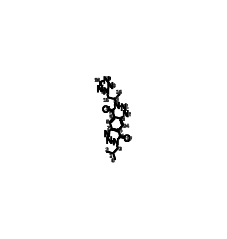 CC(C)Cn1nnc2cc3c(=O)n([C@H](C)Cn4ncnn4)nnc3cc2c1=O